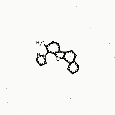 Cc1ccc2c(oc3c4ccccc4ccc23)c1-n1cccn1